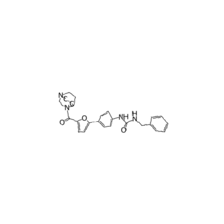 O=C(NCc1ccccc1)Nc1ccc(-c2ccc(C(=O)N3CCN4CCC3CC4)o2)cc1